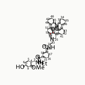 CCN(NCc1ccc(O)cc1OC)C(=O)c1cccc(C(=O)NCCN2CCC(OC(=O)N(c3ccccc3-c3ccccc3)c3ccccc3-c3ccccc3)CC2)c1